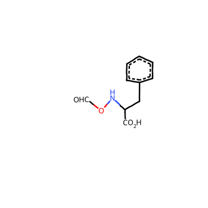 O=CONC(Cc1ccccc1)C(=O)O